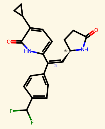 O=C1CC[C@H](/C=C(/c2ccc(C(F)F)cc2)c2ccc(C3CC3)c(=O)[nH]2)N1